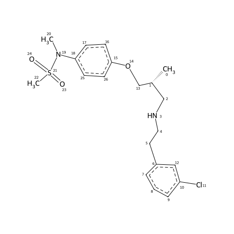 C[C@H](CNCCc1cccc(Cl)c1)COc1ccc(N(C)S(C)(=O)=O)cc1